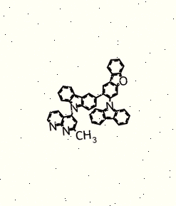 Cc1cc(-n2c3ccccc3c3cc(-c4cc5c(cc4-n4c6ccccc6c6ccccc64)oc4ccccc45)ccc32)c2cccnc2n1